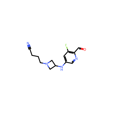 N#CCCCN1CC(Nc2cnc(C=O)c(F)c2)C1